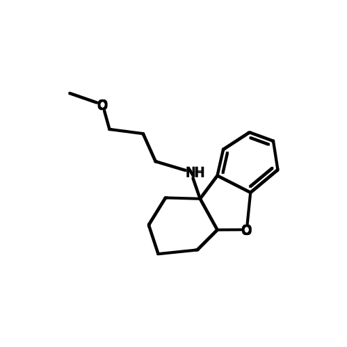 COCCCNC12CCCCC1Oc1ccccc12